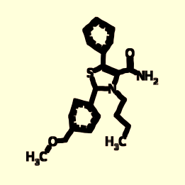 CCCCN1C(C(N)=O)=C(c2ccccc2)SC1c1ccc(COC)cc1